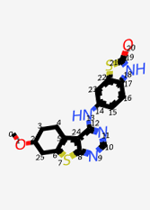 COC1CCc2c(sc3ncnc(Nc4ccc5[nH]c(=O)sc5c4)c23)C1